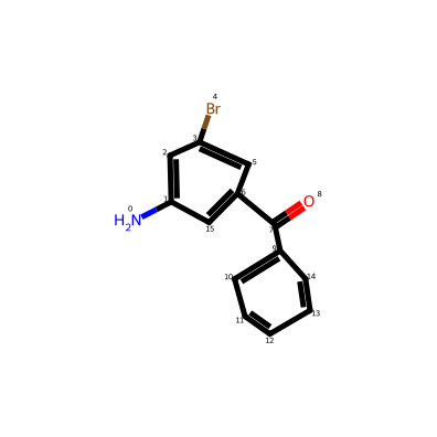 Nc1cc(Br)cc(C(=O)c2ccccc2)c1